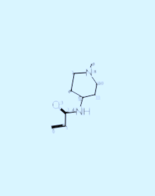 C=CC(=O)NC1CCN(C)CC1